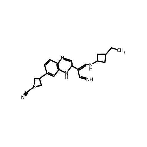 CCC1CC(N/C=C(\C=N)C2C=Nc3ccc(C4CB(C#N)C4)cc3N2)C1